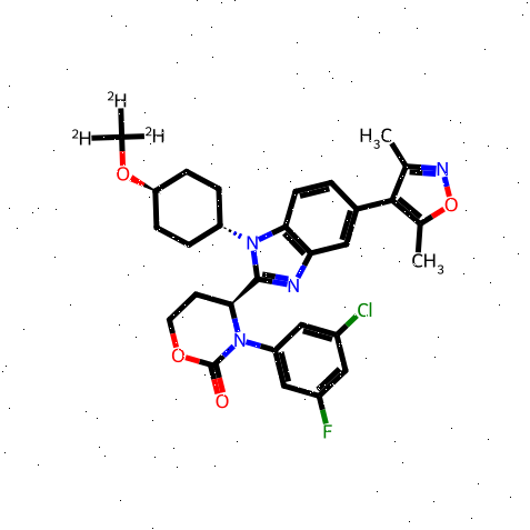 [2H]C([2H])([2H])O[C@H]1CC[C@H](n2c([C@@H]3CCOC(=O)N3c3cc(F)cc(Cl)c3)nc3cc(-c4c(C)noc4C)ccc32)CC1